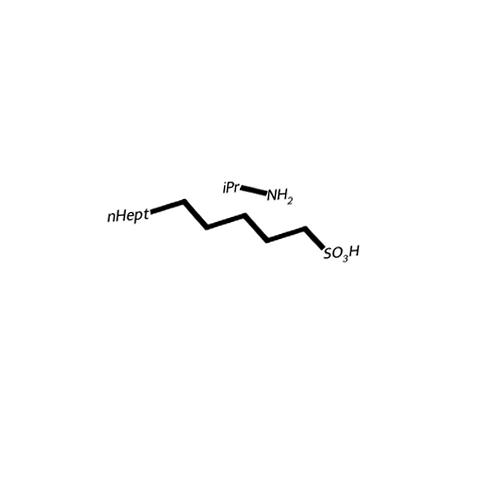 CC(C)N.CCCCCCCCCCCCS(=O)(=O)O